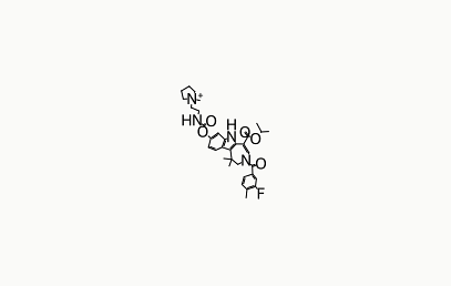 Cc1ccc(C(=O)N2C=C(C(=O)OC(C)C)c3[nH]c4cc(OC(=O)NCC[N+]5(C)CCCC5)ccc4c3C(C)(C)C2)cc1F